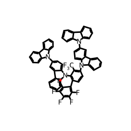 Fc1c(F)c(F)c(-c2ccc(-n3c4ccccc4c4cc(-n5c6ccccc6c6ccccc65)ccc43)c(C(F)(F)F)c2-n2c3ccccc3c3cc(-n4c5ccccc5c5ccccc54)ccc32)c(F)c1F